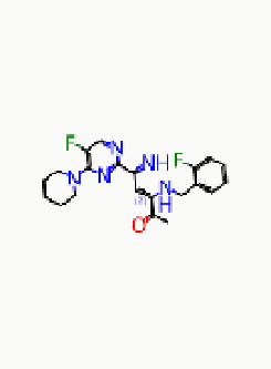 CC(=O)/C(=C/C(=N)c1ncc(F)c(N2CCCCC2)n1)NCc1ccccc1F